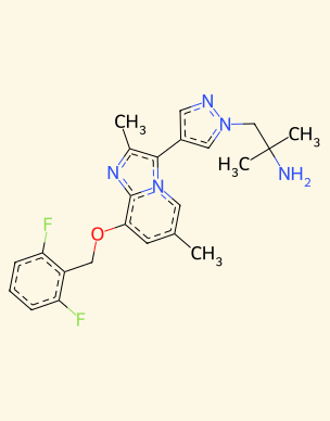 Cc1cc(OCc2c(F)cccc2F)c2nc(C)c(-c3cnn(CC(C)(C)N)c3)n2c1